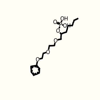 CCCCCC(COCCOCCOc1ccccc1)OP(=O)(O)O